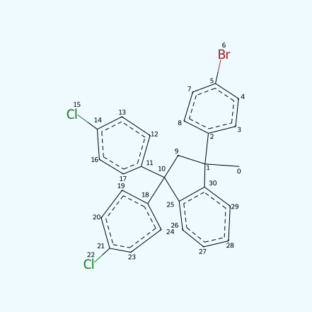 CC1(c2ccc(Br)cc2)CC(c2ccc(Cl)cc2)(c2ccc(Cl)cc2)c2ccccc21